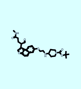 CNC(=O)CCC(C=O)c1coc2ccc3cc(OCCNC4CCN(C(=O)OC(C)(C)C)CC4)ccc3c12